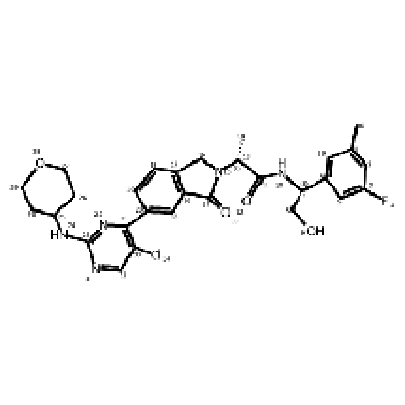 Cc1cc(F)cc([C@@H](CO)NC(=O)[C@@H](C)N2Cc3ccc(-c4nc(NC5CCOCC5)ncc4Cl)cc3C2=O)c1